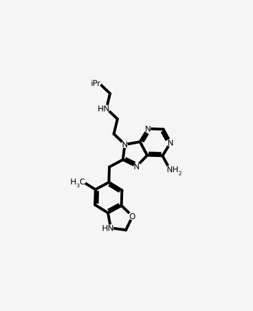 Cc1cc2c(cc1Cc1nc3c(N)ncnc3n1CCNCC(C)C)OCN2